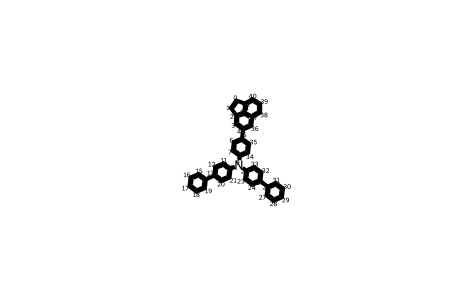 C1=Cc2cc(-c3ccc(N(c4ccc(-c5ccccc5)cc4)c4ccc(-c5ccccc5)cc4)cc3)cc3cccc1c23